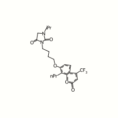 CCCc1c(OCCCCN2C(=O)CN(C(C)C)C2=O)ccc2c(C(F)(F)F)cc(=O)oc12